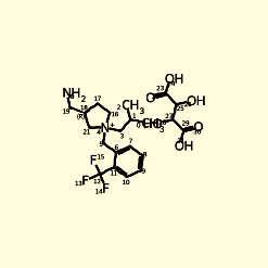 CC(C)C[N+]1(Cc2ccccc2C(F)(F)F)CC[C@H](CN)C1.O=C(O)C(O)C(O)C(=O)O